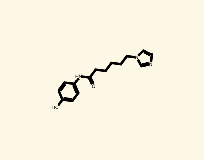 O=C(CCCCCn1ccnc1)Nc1ccc(O)cc1